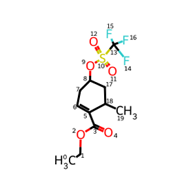 CCOC(=O)C1=CCC(OS(=O)(=O)C(F)(F)F)CC1C